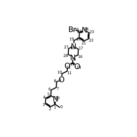 Cc1cccc(CCCOCCOC(=O)N2CCN(Cc3cccnc3Br)CC2)n1